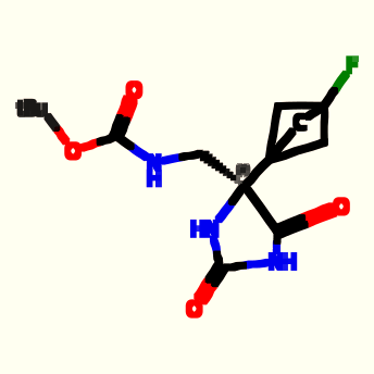 CC(C)(C)OC(=O)NC[C@@]1(C23CC(F)(C2)C3)NC(=O)NC1=O